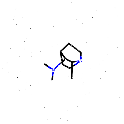 CC1C(N(C)C)C2CCN1CC2